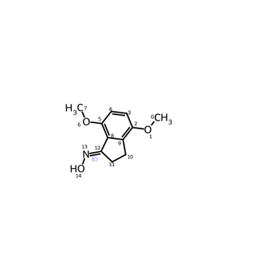 COc1ccc(OC)c2c1CC/C2=N\O